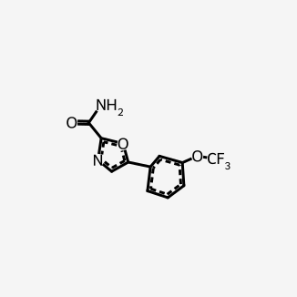 NC(=O)c1ncc(-c2cccc(OC(F)(F)F)c2)o1